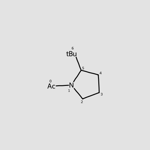 CC(=O)N1CCCC1C(C)(C)C